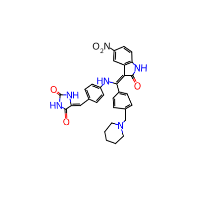 O=C1NC(=O)C(=Cc2ccc(NC(=C3C(=O)Nc4ccc([N+](=O)[O-])cc43)c3ccc(CN4CCCCC4)cc3)cc2)N1